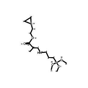 CO[Si](CCCNCC(C)C(=O)OCCN1CC1)(OC)OC